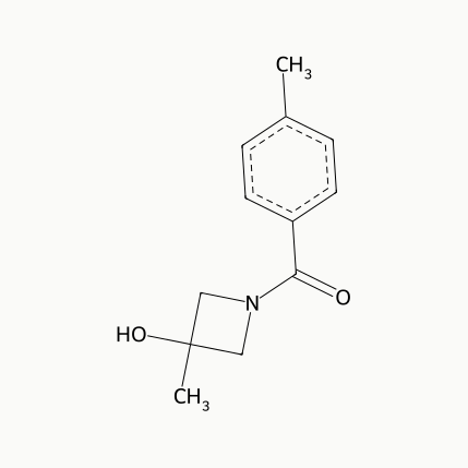 Cc1ccc(C(=O)N2CC(C)(O)C2)cc1